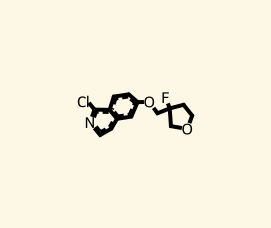 FC1(COc2ccc3c(Cl)nccc3c2)CCOC1